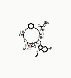 C=CCn1cc(C[C@@H]2NC(=O)[C@@H](NC(=O)OC(C)(C)C)Cc3cccc(c3)CNC(=O)CO[C@H]3CCN(C2=O)[C@@H]3C(=O)OC)c2cc(F)ccc21